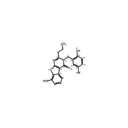 CCCc1nc2sc3c(O)cccc3c2c(=O)n1Cc1cc(Br)ccc1O